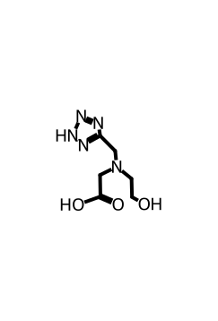 O=C(O)CN(CCO)Cc1nn[nH]n1